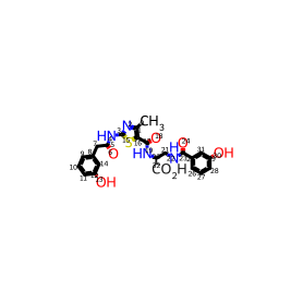 Cc1nc(NC(=O)Cc2cccc(O)c2)sc1C(=O)N[C@@H](CNC(=O)c1cccc(O)c1)C(=O)O